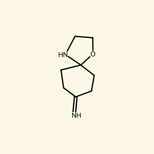 N=C1CCC2(CC1)NCCO2